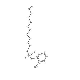 CCCCCCCCCCCC[PH](C)(C)Cc1ccccc1Cl